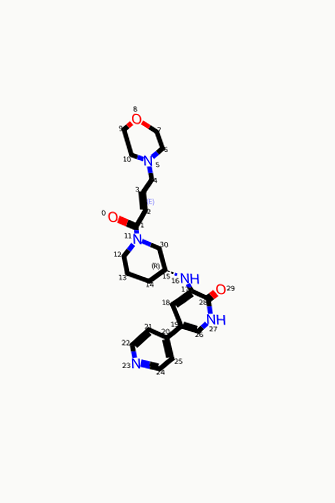 O=C(/C=C/CN1CCOCC1)N1CCC[C@@H](Nc2cc(-c3ccncc3)c[nH]c2=O)C1